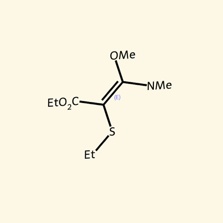 CCOC(=O)/C(SCC)=C(/NC)OC